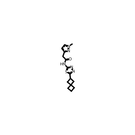 Cn1ccc(CC(=O)Nc2nnc(C3CC4(CCC4)C3)s2)n1